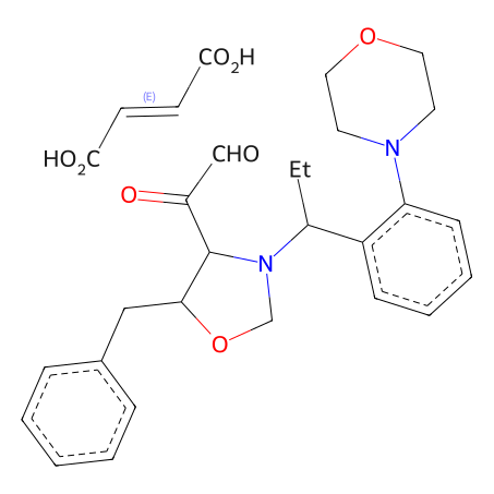 CCC(c1ccccc1N1CCOCC1)N1COC(Cc2ccccc2)C1C(=O)C=O.O=C(O)/C=C/C(=O)O